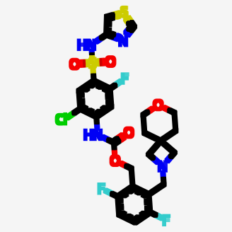 O=C(Nc1cc(F)c(S(=O)(=O)Nc2cscn2)cc1Cl)OCc1c(F)ccc(F)c1CN1CC2(CCOCC2)C1